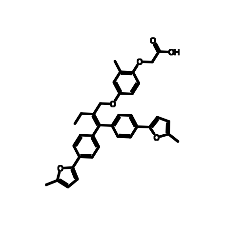 CCC(COc1ccc(OCC(=O)O)c(C)c1)=C(c1ccc(-c2ccc(C)o2)cc1)c1ccc(-c2ccc(C)o2)cc1